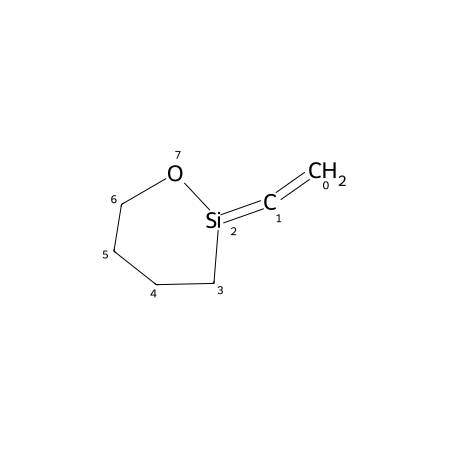 C=C=[Si]1CCCCO1